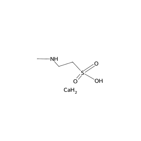 CNCCS(=O)(=O)O.[CaH2]